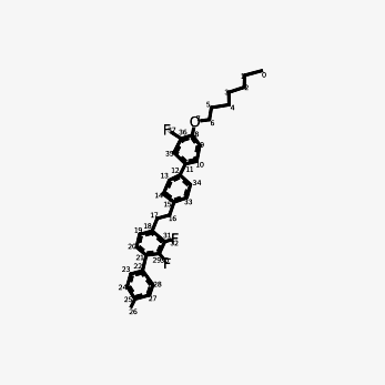 CCCCCCCOc1ccc(-c2ccc(CCc3ccc(-c4ccc(C)cc4)c(F)c3F)cc2)cc1F